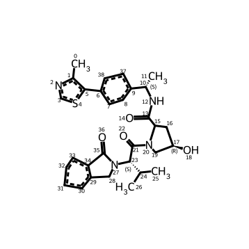 Cc1ncsc1-c1ccc([C@H](C)NC(=O)C2C[C@@H](O)CN2C(=O)[C@H](C(C)C)N2Cc3ccccc3C2=O)cc1